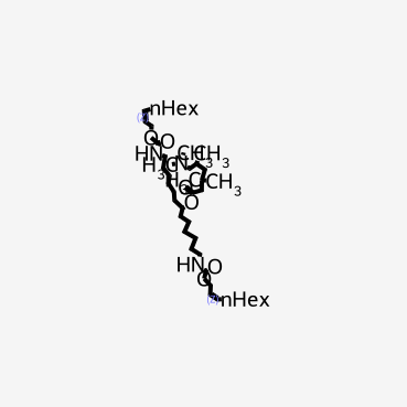 CCCCCC/C=C\COC(=O)NCCCCCCC(CCCCCCNC(=O)OC/C=C\CCCCCC)OC(=O)CC(C)(C)CC(C)CN(C)C